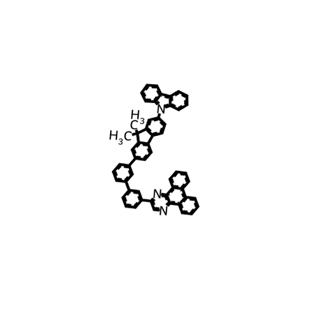 CC1(C)c2cc(-c3cccc(-c4cccc(-c5cnc6c7ccccc7c7ccccc7c6n5)c4)c3)ccc2-c2ccc(-n3c4ccccc4c4ccccc43)cc21